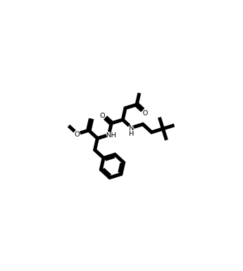 C=C(OC)C(Cc1ccccc1)NC(=O)C(CC(C)=O)NCCC(C)(C)C